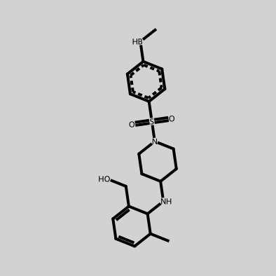 CBc1ccc(S(=O)(=O)N2CCC(NC3C(CO)=CC=CC3C)CC2)cc1